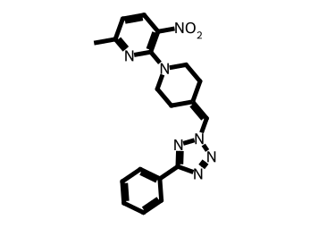 Cc1ccc([N+](=O)[O-])c(N2CCC(=Cn3nnc(-c4ccccc4)n3)CC2)n1